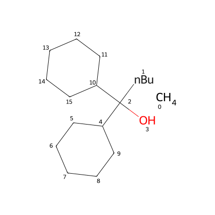 C.CCCCC(O)(C1CCCCC1)C1CCCCC1